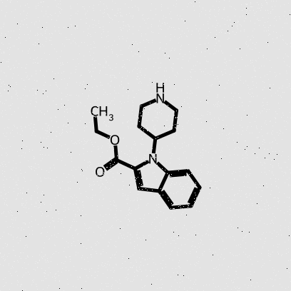 CCOC(=O)c1cc2ccccc2n1C1CCNCC1